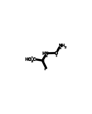 CC(NON)C(=O)O